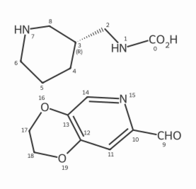 O=C(O)NC[C@@H]1CCCNC1.O=Cc1cc2c(cn1)OCCO2